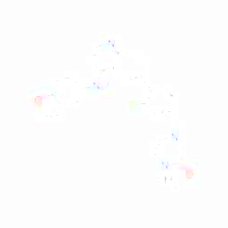 CN1CCN(Cc2ccc(-c3ccc4nccc(Nc5ccc6occc6c5)c4c3)c(F)c2)CC1=O